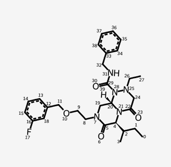 CCC(C)[C@H]1C(=O)N(CCOCc2cccc(F)c2)C[C@H]2N1C(=O)CN(CC)N2C(=O)NCc1ccccc1